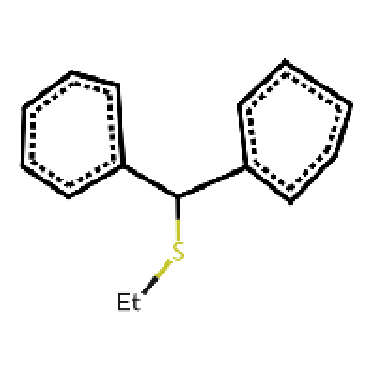 [CH2]CSC(c1ccccc1)c1ccccc1